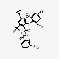 Cc1cc(C)c(Oc2nc(C3CC3)cc(C(F)(F)F)c2C(=O)NS(=O)(=O)c2cccc(N)n2)c(C)c1